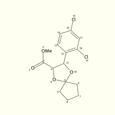 COC(=O)C1OC2(CCCC2)OC1c1ccc(Cl)cc1Cl